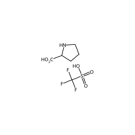 O=C(O)C1CCCN1.O=S(=O)(O)C(F)(F)F